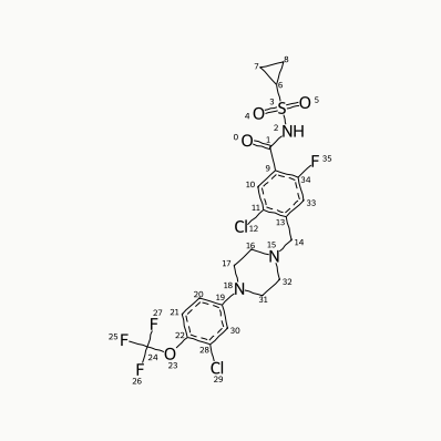 O=C(NS(=O)(=O)C1CC1)c1cc(Cl)c(CN2CCN(c3ccc(OC(F)(F)F)c(Cl)c3)CC2)cc1F